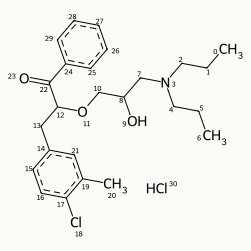 CCCN(CCC)CC(O)COC(Cc1ccc(Cl)c(C)c1)C(=O)c1ccccc1.Cl